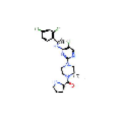 C[C@@H](Nc1nc(N2CCN(C(=O)[C@H]3CCCN3)[C@@H](C)C2)ncc1Cl)c1ccc(Cl)cc1Cl